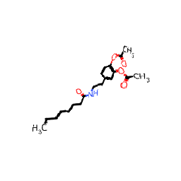 CCCCCCCC(=O)NCCc1ccc(OC(C)=O)c(OC(C)=O)c1